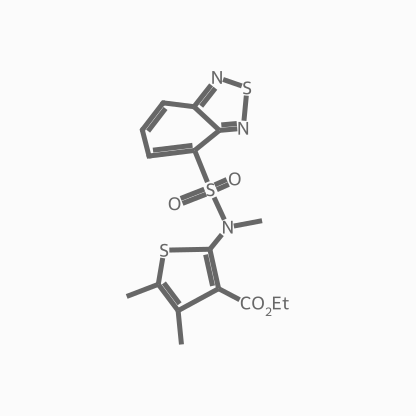 CCOC(=O)c1c(N(C)S(=O)(=O)c2cccc3nsnc23)sc(C)c1C